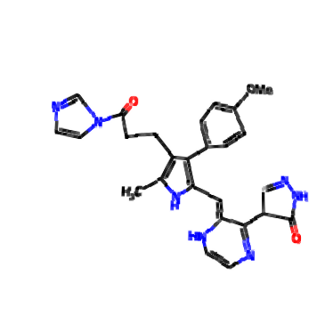 COc1ccc(-c2c(C=C3NC=CN=C3C3C=NNC3=O)[nH]c(C)c2CCC(=O)n2ccnc2)cc1